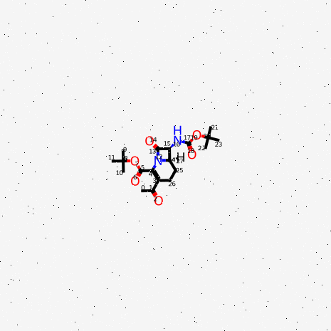 CC(=O)C1=C(C(=O)OC(C)(C)C)N2C(=O)[C@@H](NC(=O)OC(C)(C)C)[C@H]2CC1